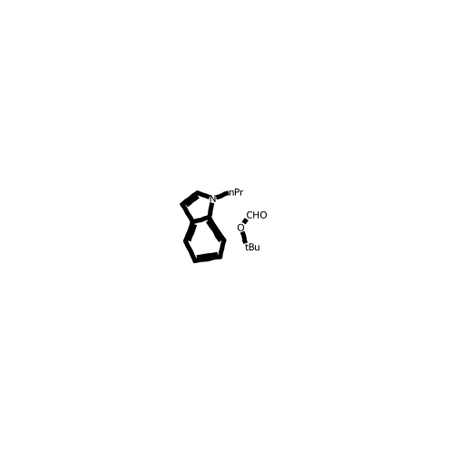 CC(C)(C)OC=O.CCCn1ccc2ccccc21